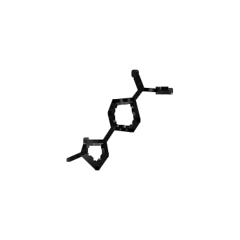 CNC(=O)c1ccc(-c2ccc(C)s2)cc1